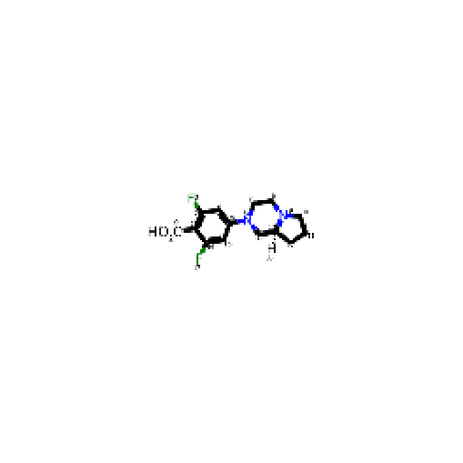 O=C(O)c1c(F)cc(N2CCN3CCC[C@H]3C2)cc1F